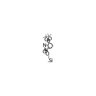 CN1C[N+]([O-])(COCC[Si](C)(C)C)c2cccc(B3OC(C)(C)C(C)(C)O3)c21